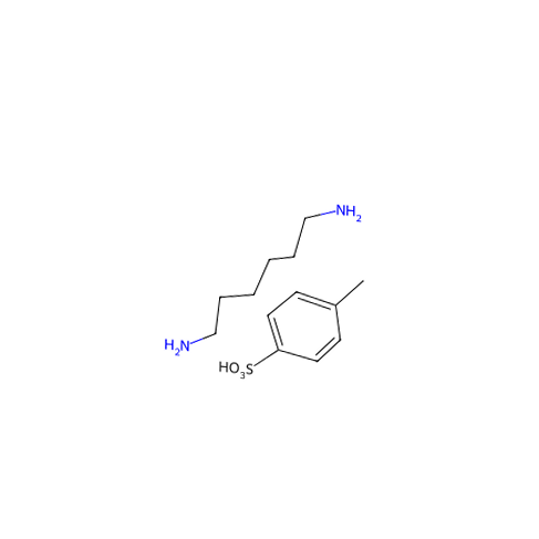 Cc1ccc(S(=O)(=O)O)cc1.NCCCCCCN